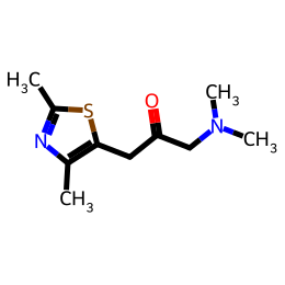 Cc1nc(C)c(CC(=O)CN(C)C)s1